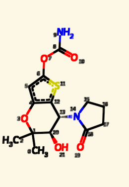 CC1(C)Oc2cc(OC(N)=O)sc2[C@H](N2CCCC2=O)[C@H]1O